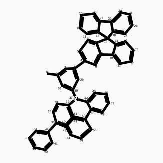 Cc1cc(-c2ccc3c(c2)-c2ccccc2C32c3ccccc3-c3ccccc32)cc(N(c2ccc(-c3ccccc3)cc2)c2ccccc2-c2ccccc2)c1